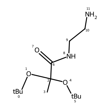 CC(C)(C)OC(C)(OC(C)(C)C)C(=O)NCCN